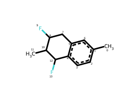 Cc1ccc2c(c1)CC(F)C(C)C2F